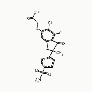 CC1(c2ccc(S(N)(=O)=O)cc2)Cc2cc(OCC(=O)O)c(Cl)c(Cl)c2C1=O